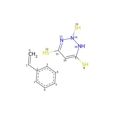 C=Cc1ccccc1.SC1=CC(S)=NN(S)N1